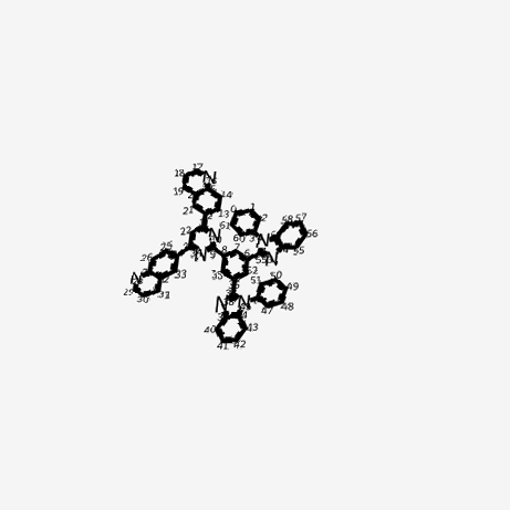 c1ccc(-n2c(-c3cc(-c4nc(-c5ccc6ncccc6c5)cc(-c5ccc6ncccc6c5)n4)cc(-c4nc5ccccc5n4-c4ccccc4)c3)nc3ccccc32)cc1